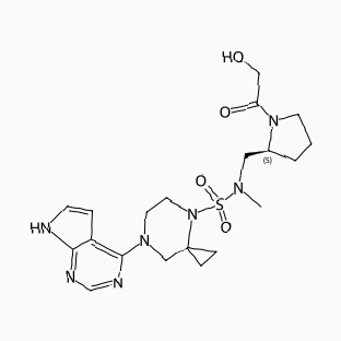 CN(C[C@@H]1CCCN1C(=O)CO)S(=O)(=O)N1CCN(c2ncnc3[nH]ccc23)CC12CC2